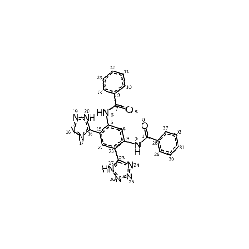 O=C(Nc1cc(NC(=O)c2ccccc2)c(-c2nnn[nH]2)cc1-c1nnn[nH]1)c1ccccc1